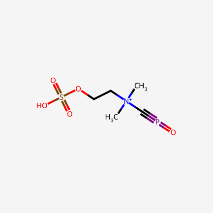 C[N+](C)(C#P=O)CCOS(=O)(=O)O